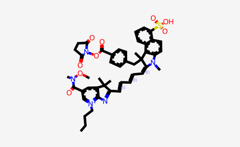 CCCC[n+]1cc(C(=O)N(C)OC)cc2c1N=C(/C=C/C=C/C=C1/N(C)c3ccc4c(S(=O)(=O)O)cccc4c3C1(C)Cc1ccc(C(=O)ON3C(=O)CCC3=O)cc1)C2(C)C